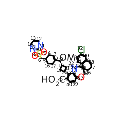 COC(C1=CC[C@H](CS(=O)(=O)c2ncccn2)CC1)[C@@H]1CC[C@H]1CN1CC2(CCCc3cc(Cl)ccc32)COc2ccc(C(=O)O)cc21